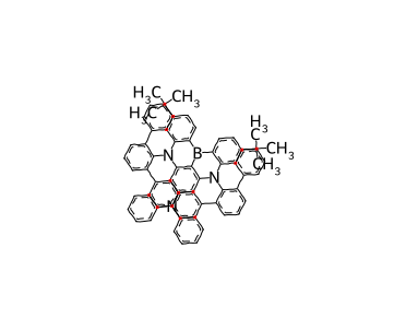 CC(C)(C)c1ccc2c(c1)N(c1c(-c3ccccc3)cccc1-c1ccccc1)c1cc(N(c3ccccc3)c3ccccc3)cc3c1B2c1ccc(C(C)(C)C)cc1N3c1c(-c2ccccc2)cccc1-c1ccccc1